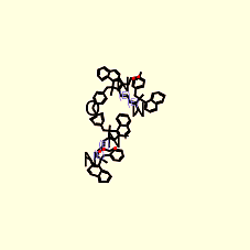 CCCC[N+]1=C(/C=C/C=C2/N(C)c3ccc4ccccc4c3C2(C)Cc2ccccc2)C(C)(Cc2ccc(Oc3ccc(CC4(C)C(/C=C/C=C5/N(C)c6ccc7ccccc7c6C5(C)Cc5ccccc5)=[N+](CCCC)c5ccc6ccccc6c54)cc3)cc2)c2c1ccc1ccccc21